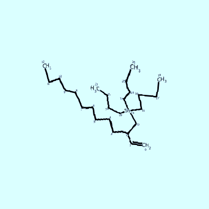 C=CC(CCCCCCCCCC)[CH2][Sn]([CH2]CCC)([CH2]CCC)[CH2]CCC